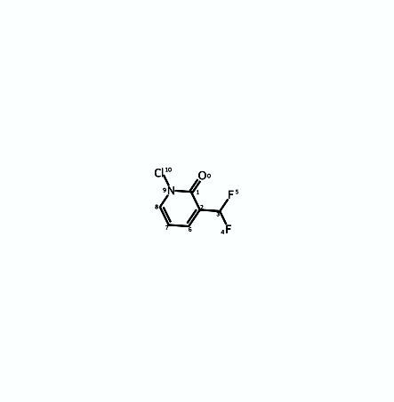 O=c1c(C(F)F)cccn1Cl